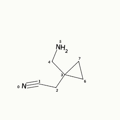 N#CCC1(CN)CC1